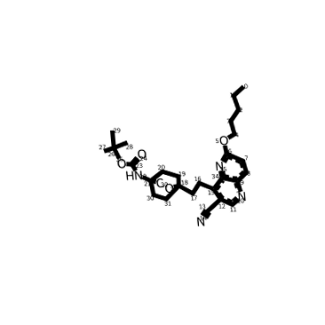 CCCCCOc1ccc2ncc(C#N)c(CCC34CCC(NC(=O)OC(C)(C)C)(CC3)CO4)c2n1